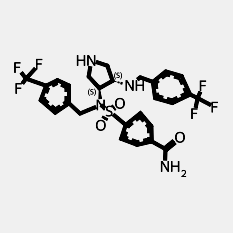 NC(=O)c1ccc(S(=O)(=O)N(Cc2ccc(C(F)(F)F)cc2)[C@H]2CNC[C@@H]2NCc2ccc(C(F)(F)F)cc2)cc1